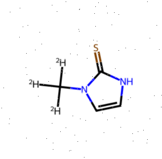 [2H]C([2H])([2H])n1cc[nH]c1=S